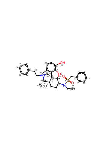 CC(=O)O[C@@]12CCC(N(CC(C)C)S(=O)(=O)Cc3ccccc3)C3Oc4c(O)ccc5c4[C@@]31CCN(CCc1ccccc1)[C@@H]2C5